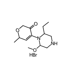 Br.CCC1CNCC(OC)N1C1=CC(C)OCC1=O